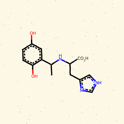 CC(NC(Cc1c[nH]cn1)C(=O)O)c1cc(O)ccc1O